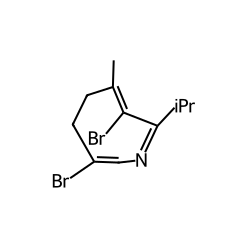 C\C1=C(Br)/C(C(C)C)=N\C=C(\Br)CC1